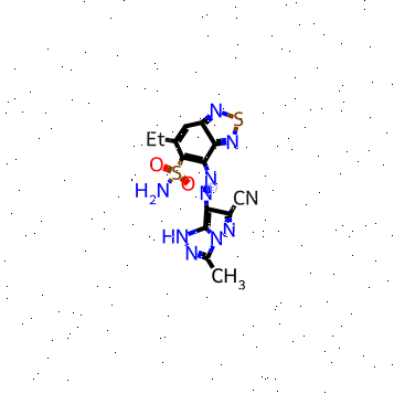 CCc1cc2nsnc2c(/N=N/c2c(C#N)nn3c(C)n[nH]c23)c1S(N)(=O)=O